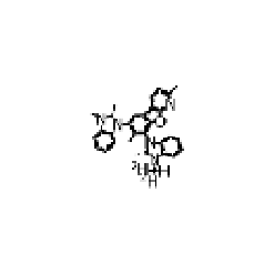 [2H]C([2H])([2H])N1c2ccccc2N(c2c(C)c(N3c4ccccc4N(C)[C@H]3C)cc3c2oc2nc(C)ccc23)[C@H]1C